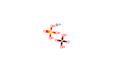 O=P(O)(O)O.[O-][Si]([O-])(O)O.[Sr+2]